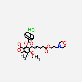 COc1c(C)c2c(c(OC(=O)C34CC5CC(CC(C5)C3)C4)c1C/C=C/CCC(=O)OCCCN1CCOCC1)C(=O)OC2.Cl